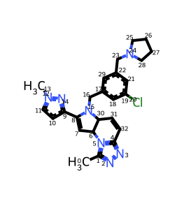 Cc1nnc2n1C1C=C(c3ccn(C)n3)N(Cc3cc(Cl)cc(CN4CCCC4)c3)C1C=C2